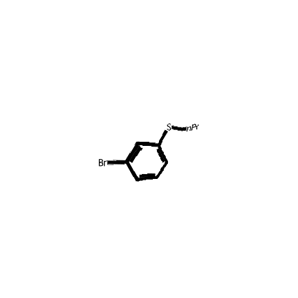 CCCSc1cccc(Br)c1